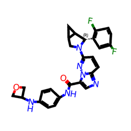 O=C(Nc1ccc(NC2COC2)cc1)c1cnc2ccc(N3CC4CC4[C@@H]3c3cc(F)ccc3F)nn12